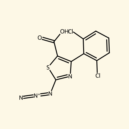 [N-]=[N+]=Nc1nc(-c2c(Cl)cccc2Cl)c(C(=O)O)s1